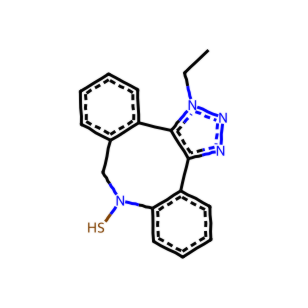 CCn1nnc2c1-c1ccccc1CN(S)c1ccccc1-2